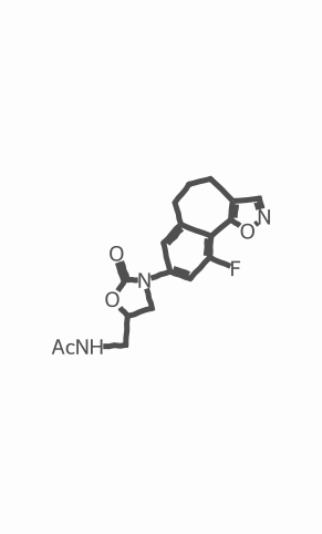 CC(=O)NCC1CN(c2cc(F)c3c(c2)CCCc2cnoc2-3)C(=O)O1